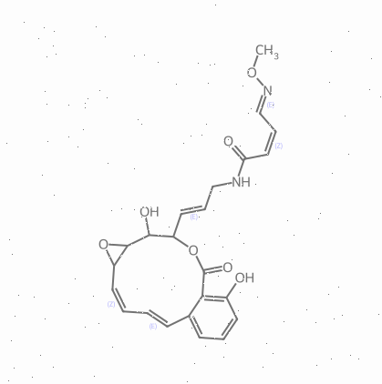 CO/N=C/C=C\C(=O)NC/C=C/C1OC(=O)c2c(O)cccc2/C=C/C=C\C2OC2C1O